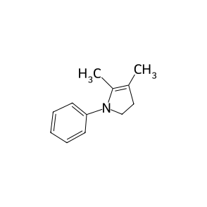 CC1=C(C)N(c2ccccc2)CC1